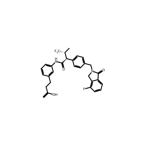 C=C(O)CCc1cccc(NC(=O)[C@H](c2ccc(CN3Cc4c(F)cccc4C3=O)cc2)[C@@H](C)C(F)(F)F)c1